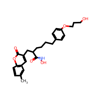 Cc1ccc2oc(=O)c(CC(CCCCc3ccc(OCCCO)cc3)C(=O)NO)cc2c1